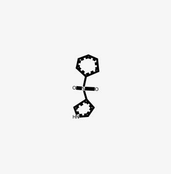 O=S(=O)(c1ccccc1)c1cc[nH]c1